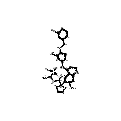 COc1cc2ncnc(Nc3ccc(OCc4cccc(F)c4)c(Cl)c3)c2cc1C1(C(C)OC(C)S(=O)(=O)C(C)C)CC=CO1